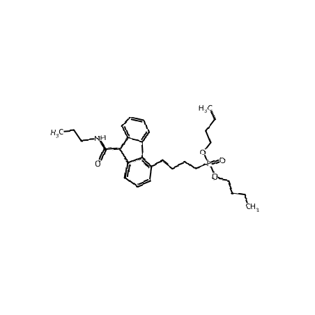 CCCCOP(=O)(CCCCc1cccc2c1-c1ccccc1C2C(=O)NCCC)OCCCC